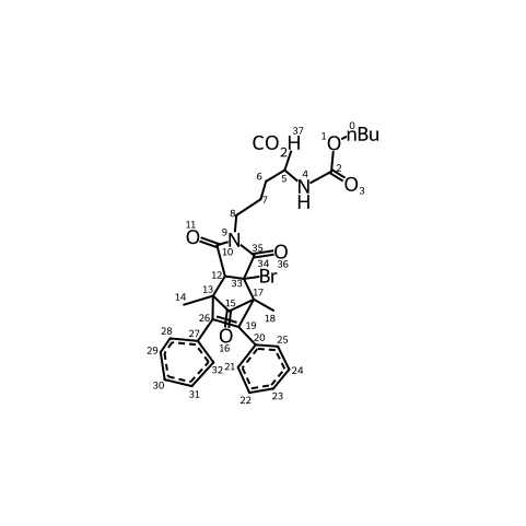 CCCCOC(=O)NC(CCCN1C(=O)C2C3(C)C(=O)C(C)(C(c4ccccc4)=C3c3ccccc3)C2(Br)C1=O)C(=O)O